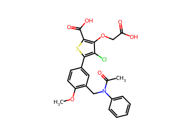 COc1ccc(-c2sc(C(=O)O)c(OCC(=O)O)c2Cl)cc1CN(C(C)=O)c1ccccc1